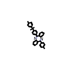 Cc1ccc(/C2=N/c3ccccc3/C(c3ccc(C(C)(C)c4ccc(C)cc4)cc3)=N\c3ccccc32)cc1